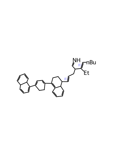 CCCC/C=C(\CC)C(C=N)C/C=C/C1CCC(C2=CC=C(C3=CC=CC4C=CC=CC34)CC2)=C2C=CC=CC21